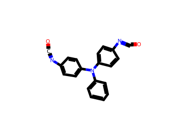 O=C=Nc1ccc(N(c2ccccc2)c2ccc(N=C=O)cc2)cc1